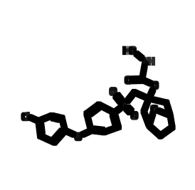 O=C(NO)OC1(CS(=O)(=O)c2ccc(Oc3ccc(Cl)cc3)cc2)CC2CCC(C1)O2